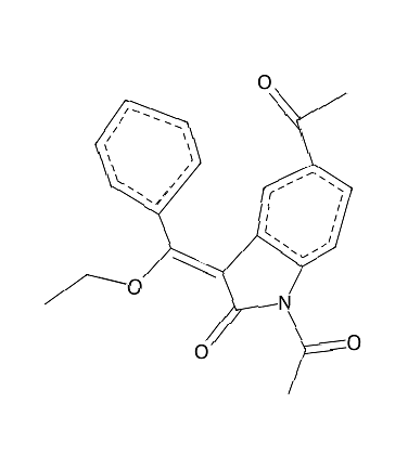 CCO/C(=C1\C(=O)N(C(C)=O)c2ccc(C(C)=O)cc21)c1ccccc1